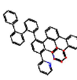 c1ccc(-c2ccccc2-c2ccccc2-c2ccc(-c3ccccn3)c(-c3ccccn3)c2-c2cccc3c4ccccc4c4ccccc4c23)cc1